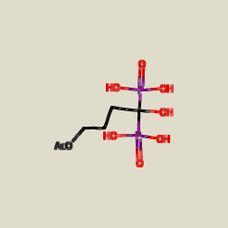 CC(=O)OCCCC(O)(P(=O)(O)O)P(=O)(O)O